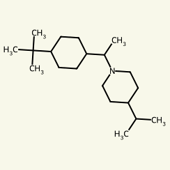 CC(C)C1CCN(C(C)C2CCC(C(C)(C)C)CC2)CC1